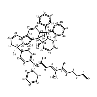 C=CCC/C=C(C)/C(=C/C=C(\C)N(C1=CC[C@H]([C@@]2(C)CC=Cc3c2sc2c3C=CC3[C@@H]2[C@H]2C=CC=CC2C3(c2ccccc2)c2ccccc2)C=C1)[C@H]1C=CC=CC1)CC